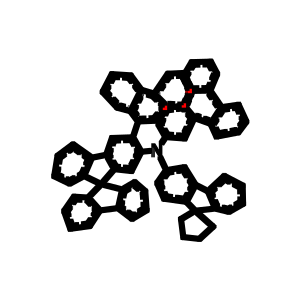 c1ccc2c(c1)-c1cc(N(c3ccc4c5ccccc5c5ccccc5c4c3)c3cc4c(cc3-c3cc5ccccc5c5ccccc35)-c3ccccc3C43c4ccccc4-c4ccccc43)ccc1C21CCCC1